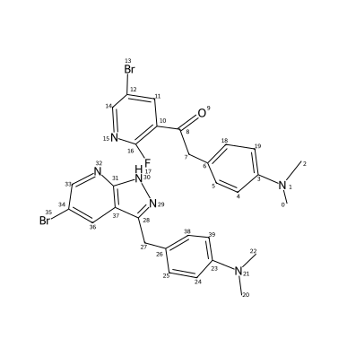 CN(C)c1ccc(CC(=O)c2cc(Br)cnc2F)cc1.CN(C)c1ccc(Cc2n[nH]c3ncc(Br)cc23)cc1